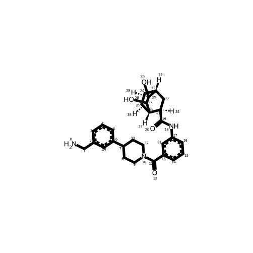 NCc1cccc(C2CCN(C(=O)c3cccc(NC(=O)[C@@H]4C[C@H]5CC[C@@H]4[C@@H](O)[C@H]5O)c3)CC2)c1